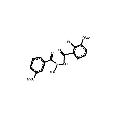 CCc1c(OC)cccc1C(=O)NN(C(=O)c1cccc(OC)c1)C(C)(C)C